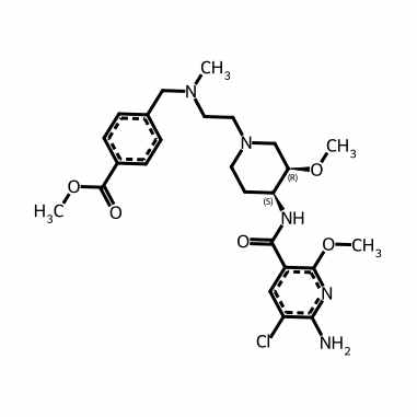 COC(=O)c1ccc(CN(C)CCN2CC[C@H](NC(=O)c3cc(Cl)c(N)nc3OC)[C@H](OC)C2)cc1